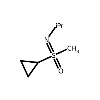 CC(C)N=S(C)(=O)C1CC1